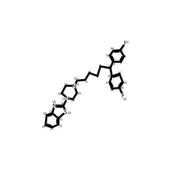 Fc1ccc(C(CCCCCN2CCN(c3nc4ccccc4s3)CC2)c2ccc(F)cc2)cc1